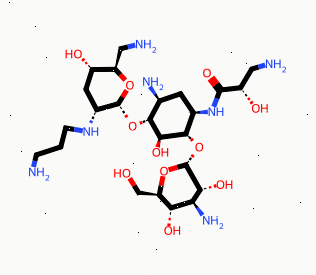 NCCCN[C@@H]1C[C@H](O)[C@@H](CN)O[C@@H]1O[C@H]1[C@H](O)[C@@H](O[C@H]2O[C@H](CO)[C@@H](O)[C@H](N)[C@H]2O)[C@H](NC(=O)[C@@H](O)CN)C[C@@H]1N